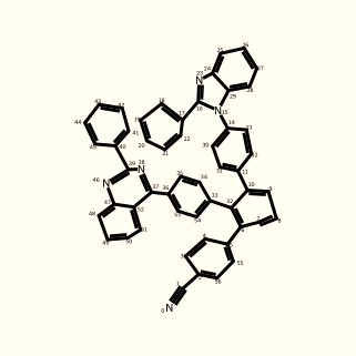 N#Cc1ccc(-c2cccc(-c3ccc(-n4c(-c5ccccc5)nc5ccccc54)cc3)c2-c2ccc(-c3nc(-c4ccccc4)nc4ccccc34)cc2)cc1